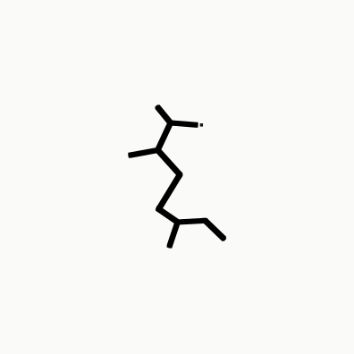 [CH2]C(C)C(C)CCC(C)CC